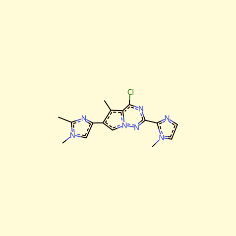 Cc1c(-c2cn(C)c(C)n2)cn2nc(-c3nccn3C)nc(Cl)c12